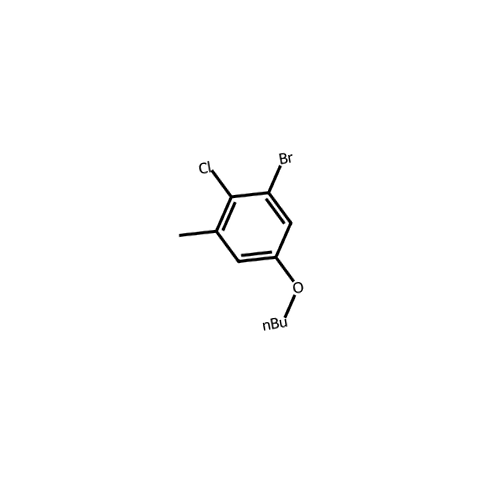 CCCCOc1cc(C)c(Cl)c(Br)c1